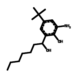 CCCCCCC(O)c1cc(C(C)(C)C)cc(N)c1O